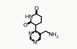 NCc1cncnc1C1CCC(=O)NC1=O